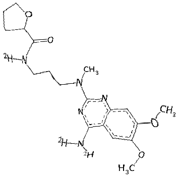 [2H]N(CCCN(C)c1nc(N([2H])[2H])c2cc(OC)c(OC)cc2n1)C(=O)C1CCCO1